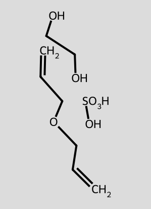 C=CCOCC=C.O=S(=O)(O)O.OCCO